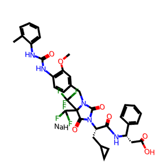 COc1cc(CN2C(=O)N([C@@H](CC3CC3)C(=O)N[C@@H](CC(=O)O)c3ccccc3)C(=O)C2(C(F)(F)F)C(F)(F)F)ccc1NC(=O)Nc1ccccc1C.[NaH]